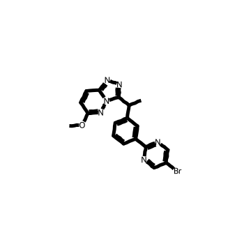 COc1ccc2nnc(C(C)c3cccc(-c4ncc(Br)cn4)c3)n2n1